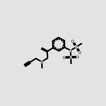 C#CCN(C)CC(=C)c1cccc(N(S(C)(=O)=O)S(C)(=O)=O)c1